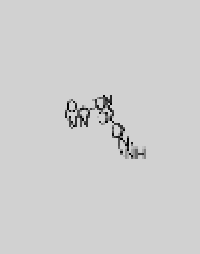 CN1CCOc2cc(-c3ccnc4cc(-c5ccc(N6CCNCC6)cc5)oc34)cnc21